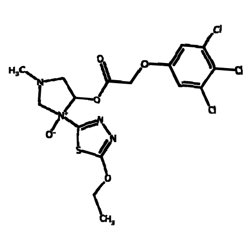 CCOc1nnc([N+]2([O-])CN(C)CC2OC(=O)COc2cc(Cl)c(Cl)c(Cl)c2)s1